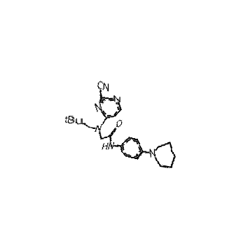 CC(C)(C)CN(CC(=O)Nc1ccc(N2CCCCC2)cc1)c1ccnc(C#N)n1